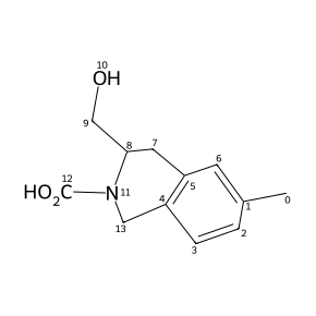 Cc1ccc2c(c1)CC(CO)N(C(=O)O)C2